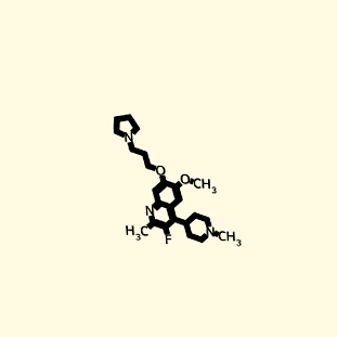 COc1cc2c(C3CCN(C)CC3)c(F)c(C)nc2cc1OCCCN1CCCC1